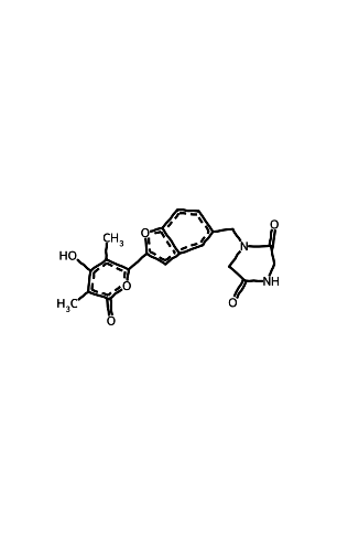 Cc1c(-c2cc3cc(CN4CC(=O)NCC4=O)ccc3o2)oc(=O)c(C)c1O